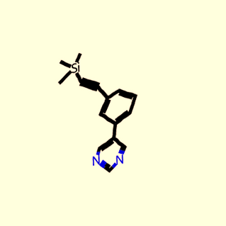 C[Si](C)(C)C#Cc1cccc(-c2cncnc2)c1